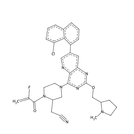 C=C(F)C(=O)N1CCN(c2nc(OCC3CCCN3C)nc3cc(-c4cccc5cccc(Cl)c45)cnc23)CC1CC#N